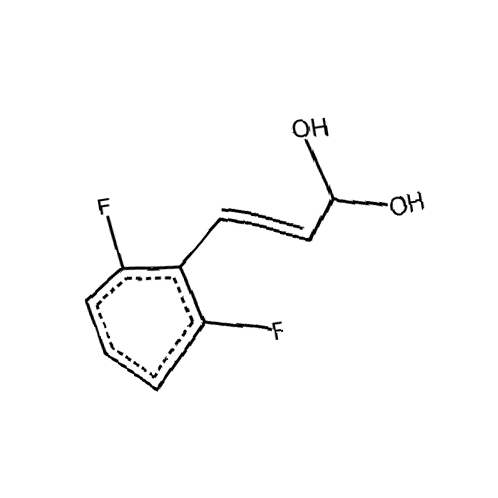 OC(O)/C=C/c1c(F)cccc1F